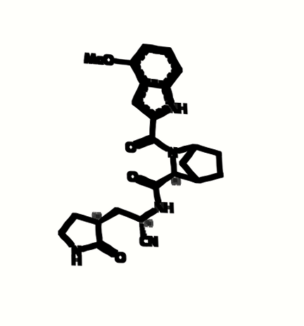 COc1cccc2[nH]c(C(=O)N3C4CCC(C4)[C@H]3C(=O)N[C@H](C#N)C[C@@H]3CCNC3=O)cc12